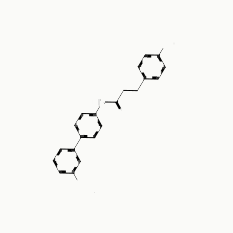 CC(C)(C)c1ccc(CCC(=O)Nc2ccc(-c3cccc(C(=O)O)c3)cc2)cc1